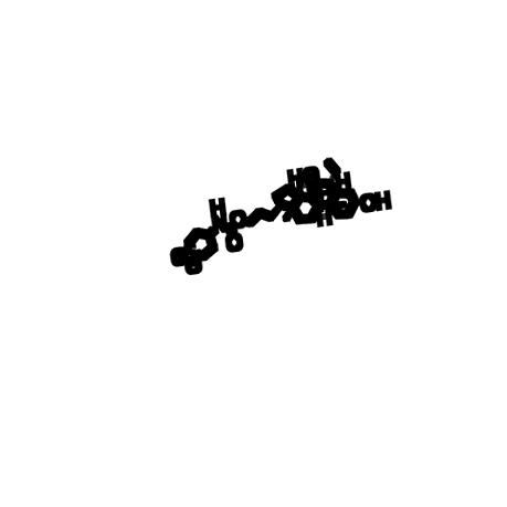 CC[C@H]1[C@@H](O)[C@@H]2[C@H](CC[C@]3(C)[C@@H](CCCOC(=O)NC4CCS(=O)(=O)CC4)CC[C@@H]23)[C@@]2(C)CC[C@@H](O)C[C@@H]12